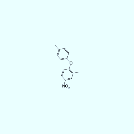 Cc1ccc(Oc2ccc([N+](=O)[O-])cc2C)cc1